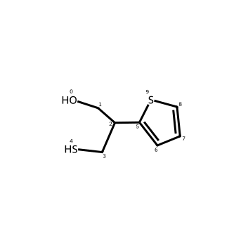 OCC(CS)c1cccs1